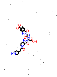 COC(=O)c1ccc(C(=O)NCC(=O)N[C@@H](CC(=O)O)NC(=O)[C@@H]2CCCN(C(=O)CCC3CCNCC3)C2)cc1